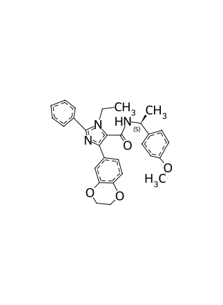 CCn1c(-c2ccccc2)nc(-c2ccc3c(c2)OCCO3)c1C(=O)N[C@@H](C)c1ccc(OC)cc1